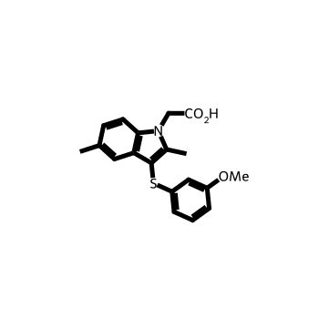 COc1cccc(Sc2c(C)n(CC(=O)O)c3ccc(C)cc23)c1